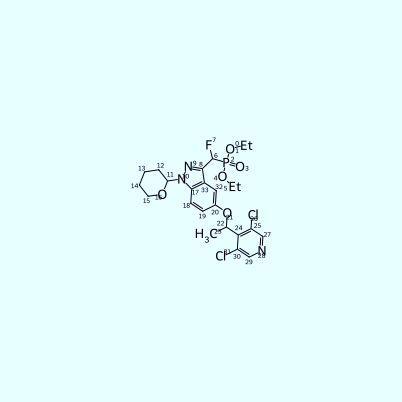 CCOP(=O)(OCC)C(F)c1nn(C2CCCCO2)c2ccc(OC(C)c3c(Cl)cncc3Cl)cc12